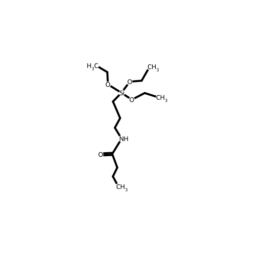 CCCC(=O)NCCC[Si](OCC)(OCC)OCC